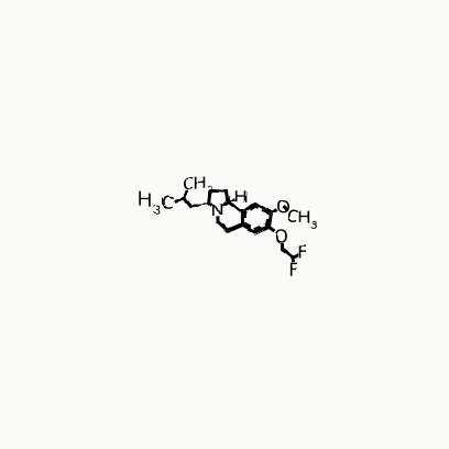 COc1cc2c(cc1OCC(F)F)CCN1[C@@H](CC(C)C)CC[C@H]21